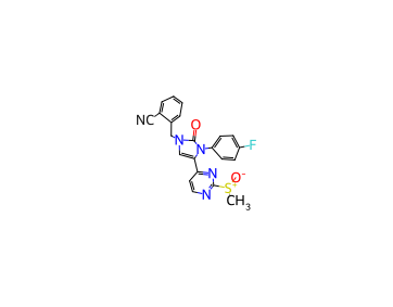 C[S+]([O-])c1nccc(-c2cn(Cc3ccccc3C#N)c(=O)n2-c2ccc(F)cc2)n1